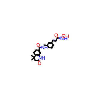 CC1(C)CC(=O)Nc2cc(C(=O)NCc3cccc(/C=C/C(=O)NO)c3)ccc21